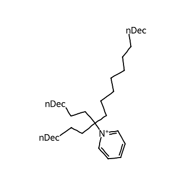 CCCCCCCCCCCCCCCCCC(CCCCCCCCCCCC)(CCCCCCCCCCCC)[n+]1ccccc1